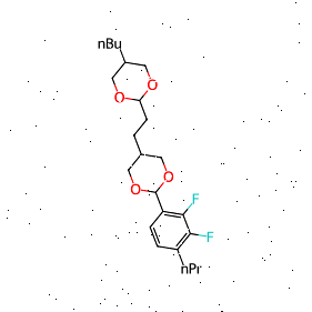 CCCCC1COC(CCC2COC(c3ccc(CCC)c(F)c3F)OC2)OC1